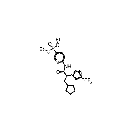 CCOP(=O)(OCC)c1ccc(NC(=O)[C@H](CC2CCCC2)n2cnc(C(F)(F)F)c2)nc1